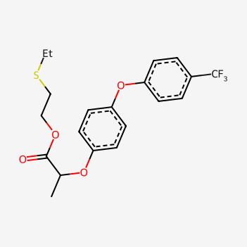 CCSCCOC(=O)C(C)Oc1ccc(Oc2ccc(C(F)(F)F)cc2)cc1